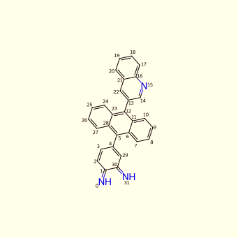 N=C1C=CC(c2c3ccccc3c(-c3cnc4ccccc4c3)c3ccccc23)=CC1=N